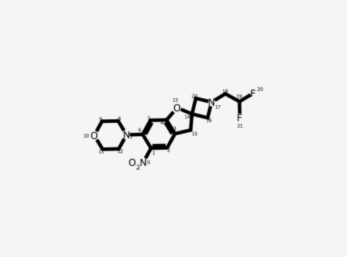 O=[N+]([O-])c1cc2c(cc1N1CCOCC1)OC1(C2)CN(CC(F)F)C1